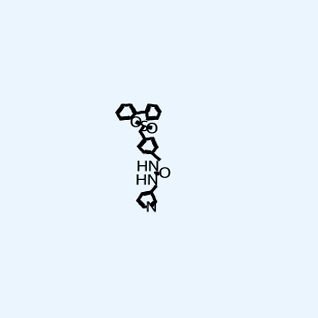 O=C(NCc1ccc(CS(=O)(=O)c2ccccc2-c2ccccc2)cc1)NCc1cccnc1